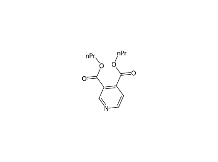 CCCOC(=O)c1ccncc1C(=O)OCCC